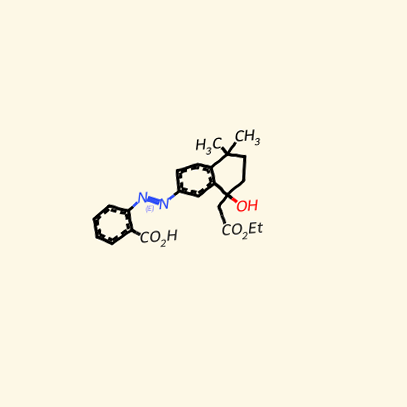 CCOC(=O)CC1(O)CCC(C)(C)c2ccc(/N=N/c3ccccc3C(=O)O)cc21